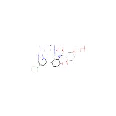 NC1=NC2(CO1)c1cc(-c3cncc(Cl)c3)ccc1OC1CCC(O)CC12